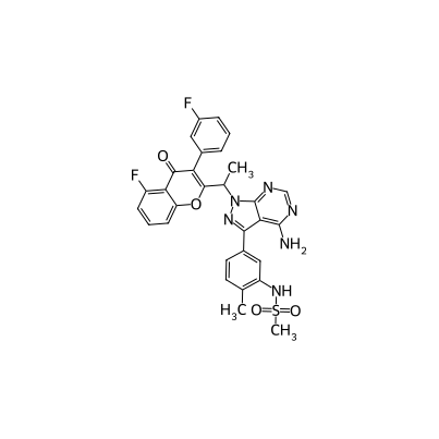 Cc1ccc(-c2nn(C(C)c3oc4cccc(F)c4c(=O)c3-c3cccc(F)c3)c3ncnc(N)c23)cc1NS(C)(=O)=O